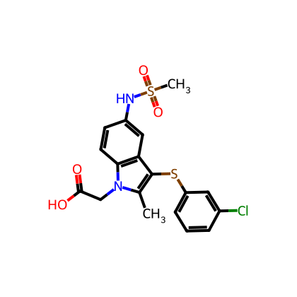 Cc1c(Sc2cccc(Cl)c2)c2cc(NS(C)(=O)=O)ccc2n1CC(=O)O